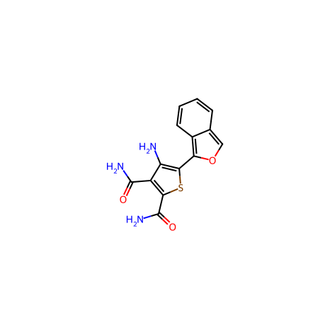 NC(=O)c1sc(-c2occ3ccccc23)c(N)c1C(N)=O